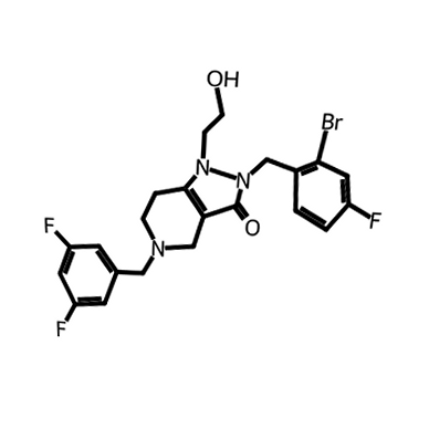 O=c1c2c(n(CCO)n1Cc1ccc(F)cc1Br)CCN(Cc1cc(F)cc(F)c1)C2